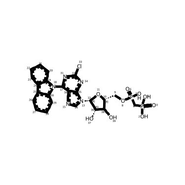 O=P(O)(O)CP(=O)(O)OC[C@H]1O[C@@H](n2cnc3c(-n4c5ccccc5c5ccccc54)nc(Cl)nc32)[C@@H](O)C1O